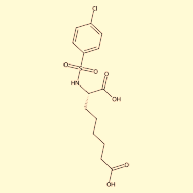 O=C(O)CCCCC[C@H](NS(=O)(=O)c1ccc(Cl)cc1)C(=O)O